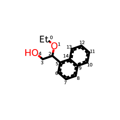 CCOC(CO)c1cccc2ccccc12